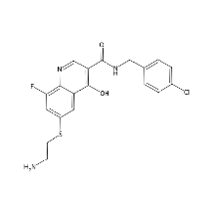 NCCSc1cc(F)c2ncc(C(=O)NCc3ccc(Cl)cc3)c(O)c2c1